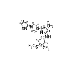 CN(C)c1cc(Nc2ccc(SC(F)(F)F)c(C(F)(F)F)c2)nc(N2CCN(c3ccccn3)CC2)n1